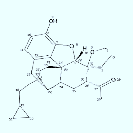 CC[C@@]1(OC)[C@H]2Oc3c(O)ccc4c3[C@]23CCN(CC2CC2)C(C4)C3C[C@H]1C(C)=O